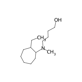 CCC1CCCCCC1N(C)CCCCO